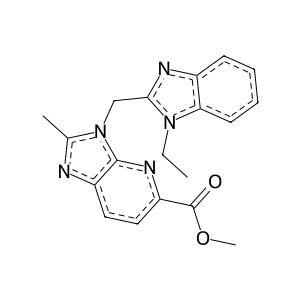 CCn1c(Cn2c(C)nc3ccc(C(=O)OC)nc32)nc2ccccc21